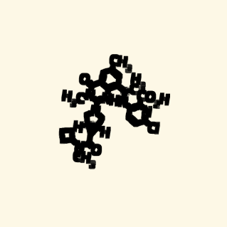 Cc1cc([C@@H](C)Nc2ccc(Cl)nc2C(=O)O)c2nc(N3C[C@@H]4C(C(=O)N(C)C5CCC5)[C@@H]4C3)n(C)c(=O)c2c1